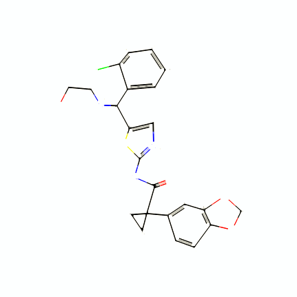 C[C@@H](O)CNC(c1cnc(NC(=O)C2(c3ccc4c(c3)OCO4)CC2)s1)c1ccccc1Cl